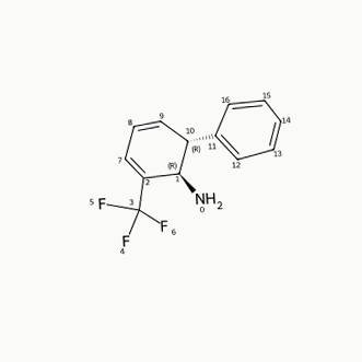 N[C@H]1C(C(F)(F)F)=CC=C[C@@H]1c1ccccc1